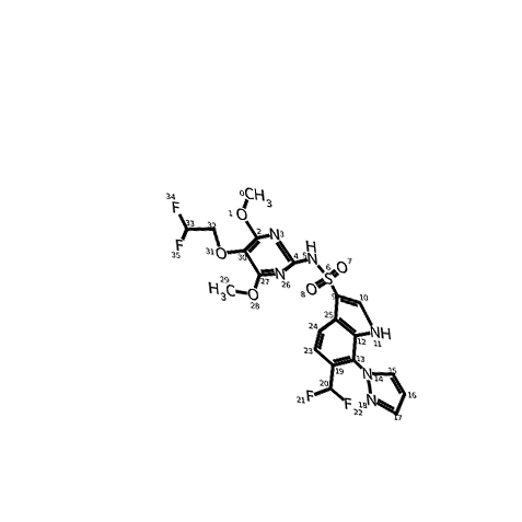 COc1nc(NS(=O)(=O)c2c[nH]c3c(-n4cccn4)c(C(F)F)ccc23)nc(OC)c1OCC(F)F